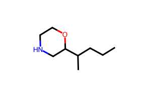 CCCC(C)C1CNCCO1